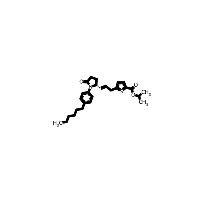 CCCCCCc1ccc(N2C(=O)CC[C@@H]2C=CCc2ccc(C(=O)OC(C)C)s2)cc1